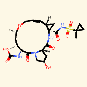 C[C@@H]1C[C@H](C)OCC=C[C@@H]2C[C@@]2(C(=O)NS(=O)(=O)C2(C)CC2)NC(=O)[C@@H]2C[C@@H](O)CN2C(=O)[C@H]1NC(=O)O